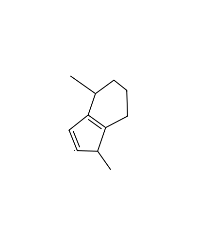 CC1[C]=CC2=C1CCCC2C